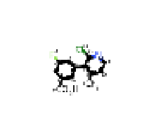 O=C(O)c1cc(F)cc(-c2c(C(F)(F)F)ccnc2Cl)c1